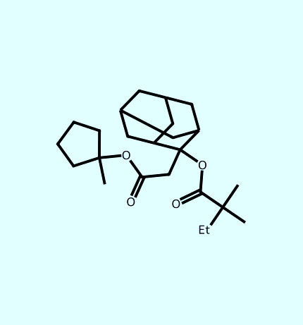 CCC(C)(C)C(=O)OC1(CC(=O)OC2(C)CCCC2)C2CC3CC(C2)CC1C3